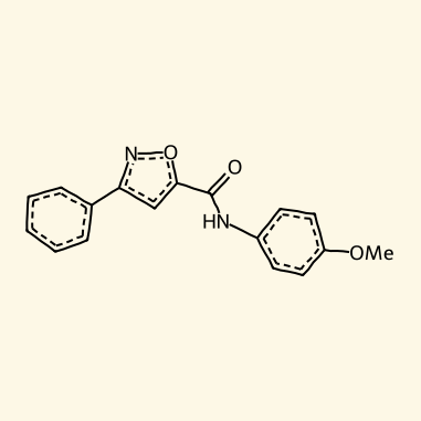 COc1ccc(NC(=O)c2cc(-c3ccccc3)no2)cc1